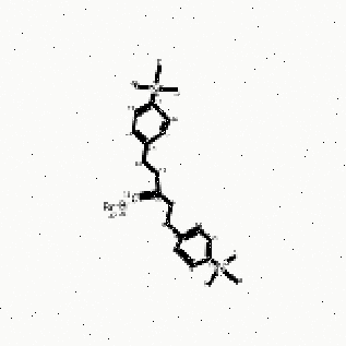 C[N+](C)(C)c1ccc(CCC(=O)CCc2ccc([N+](C)(C)C)cc2)cc1.[Br-].[Br-]